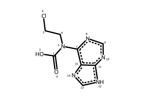 O=C(O)N(CCCl)c1ncnc2[nH]cnc12